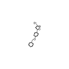 CCc1cc(-c2ccc(OCc3ccccc3)cc2)on1